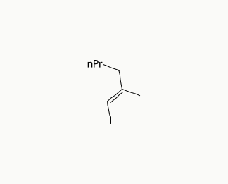 CCCCC(C)=CI